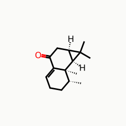 C[C@@H]1CCC=C2C(=O)C[C@@H]3[C@@H](C3(C)C)[C@]21C